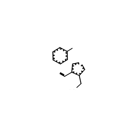 CCc1cscc1C=O.Clc1ccccc1